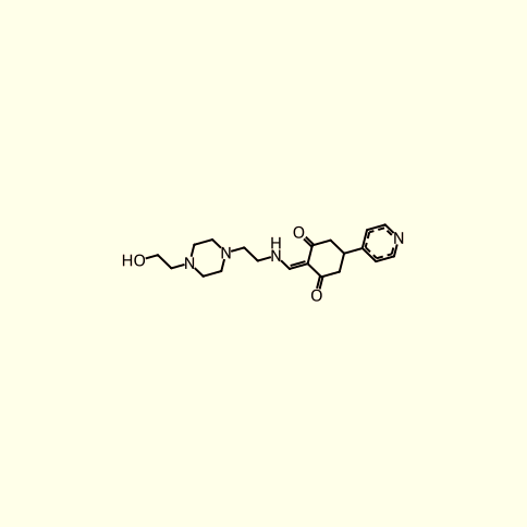 O=C1CC(c2ccncc2)CC(=O)C1=CNCCN1CCN(CCO)CC1